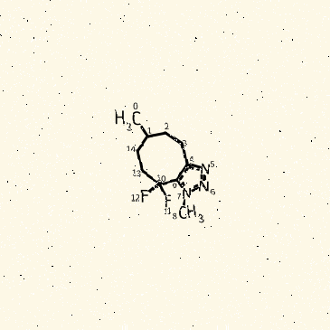 CC1CCc2nnn(C)c2C(F)(F)CC1